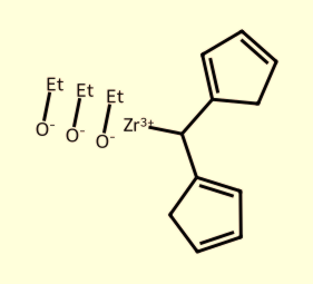 CC[O-].CC[O-].CC[O-].[Zr+3][CH](C1=CC=CC1)C1=CC=CC1